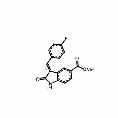 COC(=O)c1ccc2c(c1)/C(=C\c1ccc(F)cc1)C(=O)N2